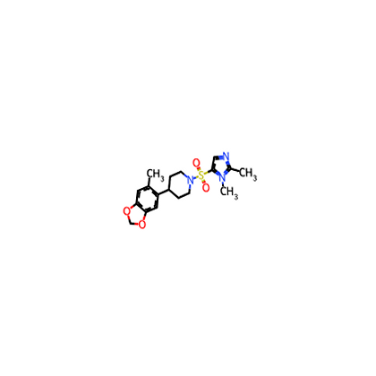 Cc1cc2c(cc1C1CCN(S(=O)(=O)c3cnc(C)n3C)CC1)OCO2